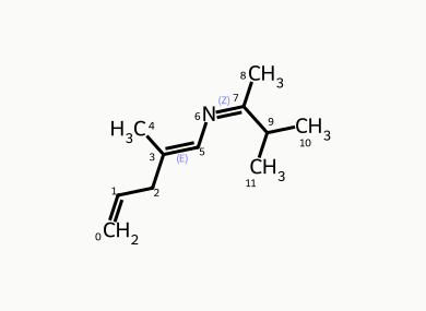 C=CC/C(C)=C/N=C(/C)C(C)C